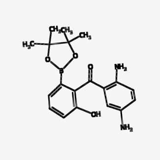 CC1(C)OB(c2cccc(O)c2C(=O)c2cc(N)ccc2N)OC1(C)C